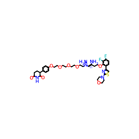 N/C(=C\N(N)CCOCCOCCOCCOc1ccc(C2CCC(=O)NC2=O)cc1)CCOc1c(-c2csc(N3CCOCC3)n2)ccc(F)c1F